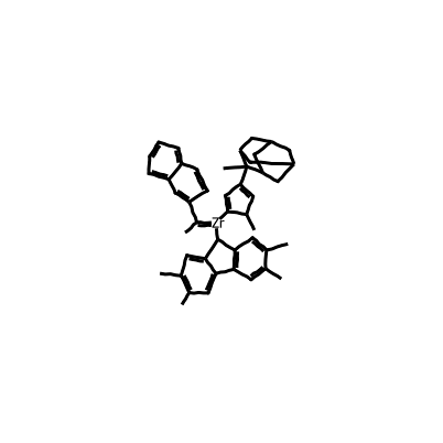 C[C](c1ccc2ccccc2c1)=[Zr]([C]1=CC(C2(C)C3CC4CC(C3)CC2C4)=CC1C)[CH]1c2cc(C)c(C)cc2-c2cc(C)c(C)cc21